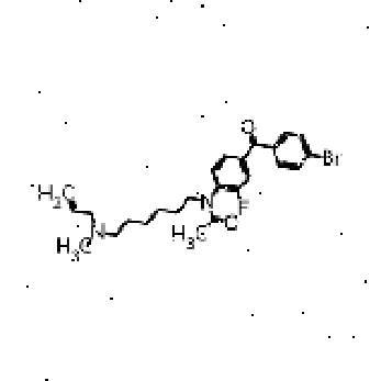 C=CCN(C)CCCCCCN(C(C)=O)c1ccc(C(=O)c2ccc(Br)cc2)cc1F